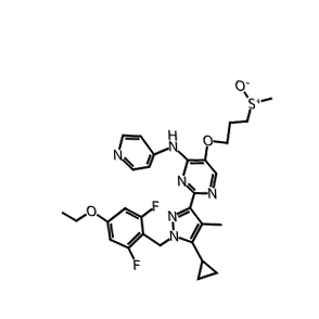 CCOc1cc(F)c(Cn2nc(-c3ncc(OCCC[S+](C)[O-])c(Nc4ccncc4)n3)c(C)c2C2CC2)c(F)c1